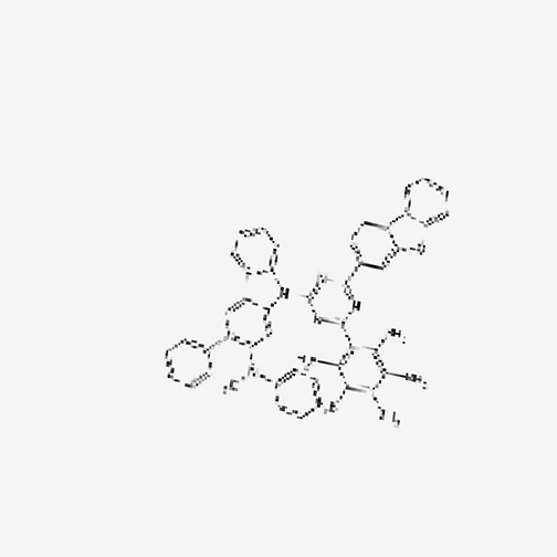 Bc1c(B)c(B)c(-c2nc(-c3ccc4c(c3)oc3ccccc34)nc(-n3c4ccccc4c4cc(-c5ccccc5)c(N(C)c5ccccc5)cc43)n2)c(B)c1B